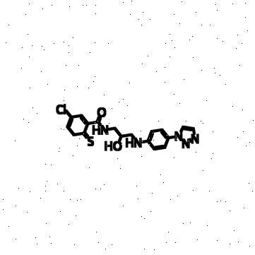 O=C(NCC(O)CNc1ccc(-n2ccnn2)cc1)C1=CC(Cl)=CCC1=S